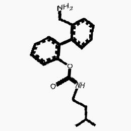 CC(C)CCNC(=O)Oc1ccccc1-c1ccccc1CN